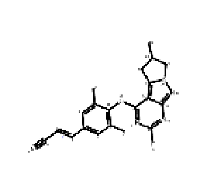 Cc1cc(/C=C/C#N)cc(C)c1Oc1nc(F)nc2nn3c(c12)CC(C)C3